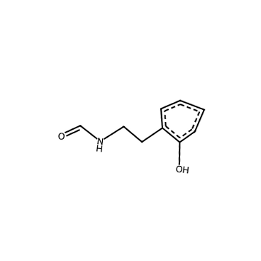 O=CNCCc1ccccc1O